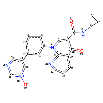 O=C(NC1CC1)c1cn(-c2cccc(-c3cnc[n+]([O-])c3)c2)c2ncccc2c1=O